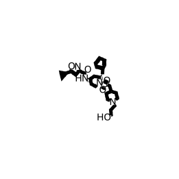 O=C(N[C@H]1CCN(S(=O)(=O)CC2CCN(CCCO)CC2)[C@@H](Cc2ccccc2)C1)c1cc(C2CC2)on1